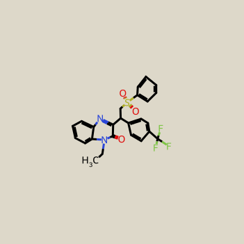 CCn1c(=O)c(C(CS(=O)(=O)c2ccccc2)c2ccc(C(F)(F)F)cc2)nc2ccccc21